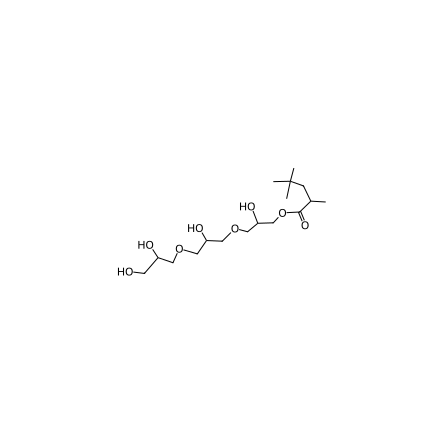 CC(CC(C)(C)C)C(=O)OCC(O)COCC(O)COCC(O)CO